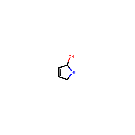 OC1C=CCN1